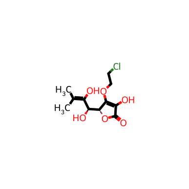 CC(C)=C(O)[C@H](O)[C@H]1OC(=O)C(O)=C1OCCCl